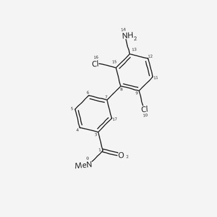 CNC(=O)c1cccc(-c2c(Cl)ccc(N)c2Cl)c1